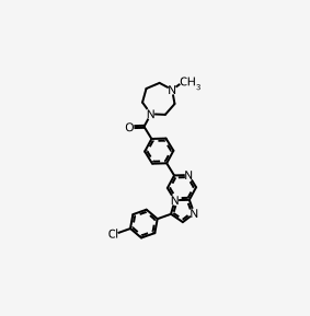 CN1CCCN(C(=O)c2ccc(-c3cn4c(-c5ccc(Cl)cc5)cnc4cn3)cc2)CC1